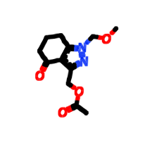 COCn1nc(COC(C)=O)c2c1CCCC2=O